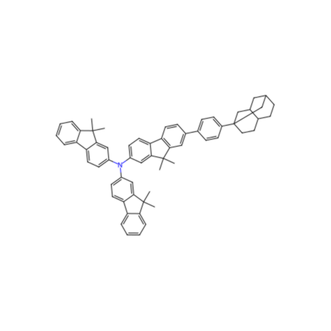 CC1(C)c2ccccc2-c2ccc(N(c3ccc4c(c3)C(C)(C)c3ccccc3-4)c3ccc4c(c3)C(C)(C)c3cc(-c5ccc(C67CCC8CCC(CC8C6)C7)cc5)ccc3-4)cc21